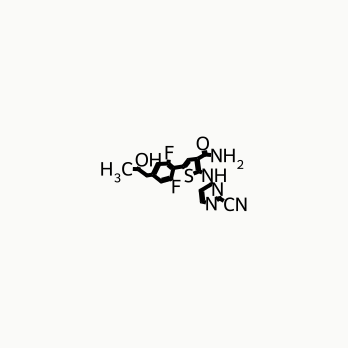 CC(O)Cc1cc(F)c(-c2cc(C(N)=O)c(Nc3ccnc(C#N)n3)s2)c(F)c1